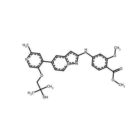 COC(=O)c1ccc(Nc2cc3cc(-c4cc(C)ncc4OCC(C)(C)O)ccn3n2)cc1OC